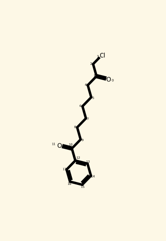 O=C(CCl)CCCCCCC(=O)c1ccccc1